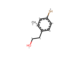 C.OCCc1ccc(S)cc1